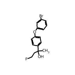 CC(O)(CCF)c1ccc(Oc2cccc(Br)c2)cc1